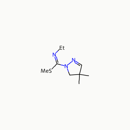 CC/N=C(/SC)N1CC(C)(C)C=N1